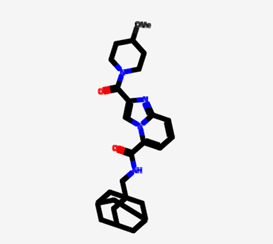 COC1CCN(C(=O)c2cn3c(C(=O)NCC45CC6CC(CC(C6)C4)C5)cccc3n2)CC1